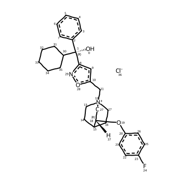 O[C@](c1ccccc1)(c1cc(C[N+]23CCC(CC2)[C@@H](Oc2ccc(F)cc2)C3)on1)C1CCCCC1.[Cl-]